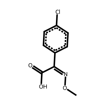 CON=C(C(=O)O)c1ccc(Cl)cc1